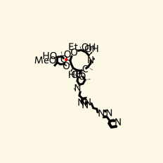 CC[C@H]1OC(=O)[C@H](C)[C@@H](O[C@H]2C[C@@](C)(OC)[C@@H](O)[C@H](C)O2)[C@H](C)[C@@H](O[C@H]2C[C@@H](N(C)CCc3cn(CCCCn4cnc(-c5cccnc5)c4)nn3)C[C@@H](C)O2)[C@](C)(O)C[C@@H](C)CN(C)[C@H](C)[C@@H](O)[C@]1(C)O